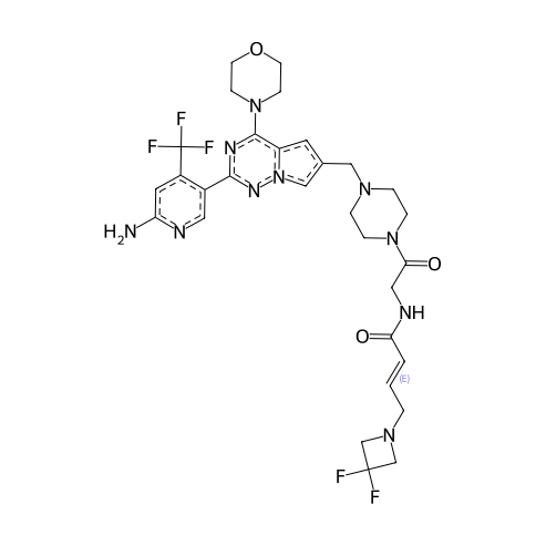 Nc1cc(C(F)(F)F)c(-c2nc(N3CCOCC3)c3cc(CN4CCN(C(=O)CNC(=O)/C=C/CN5CC(F)(F)C5)CC4)cn3n2)cn1